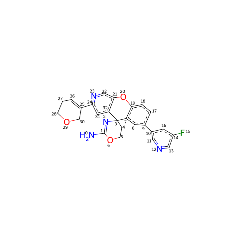 NC1=NC2(CCO1)c1cc(-c3cncc(F)c3)ccc1Oc1cnc(C3=CCCOC3)cc12